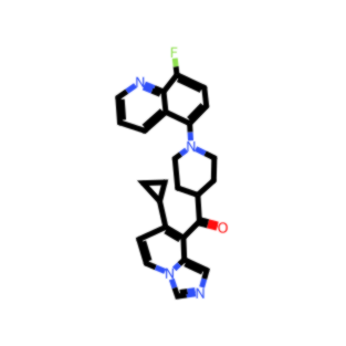 O=C(c1c(C2CC2)ccn2cncc12)C1CCN(c2ccc(F)c3ncccc23)CC1